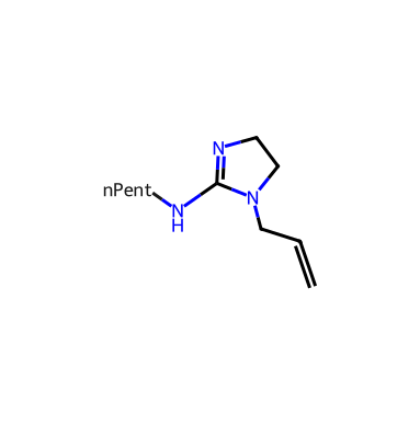 C=CCN1CCN=C1NCCCCC